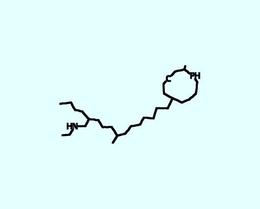 CCCCC(CCCC(C)CCCCCCCC1CCCCPC(C)CCCC1)CNCC